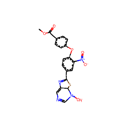 COC(=O)c1ccc(Oc2ccc(C3=NC4=CN=CN(O)C4S3)cc2[N+](=O)[O-])cc1